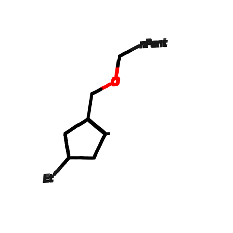 [CH2]CC1C[CH]C(COCCCCCC)C1